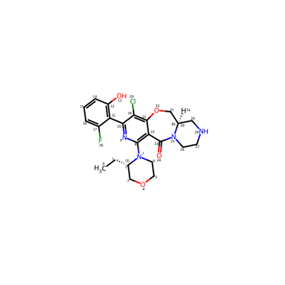 CC[C@H]1COCCN1c1nc(-c2c(O)cccc2F)c(Cl)c2c1C(=O)N1CCNC[C@@H]1CO2